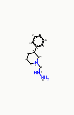 NNCN1CCCC(c2ccccc2)C1